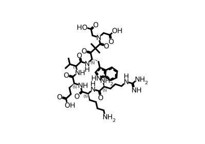 CC(C)[C@H](NC(=O)[C@H](CCC(=O)O)NC(=O)[C@H](CCCCN)NC(=O)[C@@H](N)CCCNC(=N)N)C(=O)N[C@@H](Cc1c[nH]c2ccccc12)C(=O)C(C)(C)C(=O)N(CC(=O)O)CC(=O)O